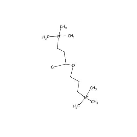 C[N+](C)(C)CCCOC(Cl)CC[N+](C)(C)C